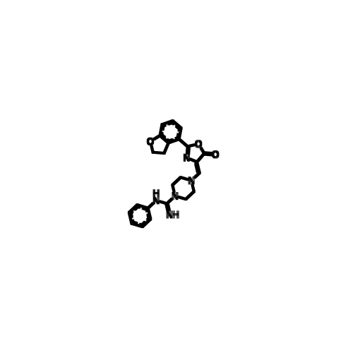 N=C(Nc1ccccc1)N1CCN(C=C2N=C(c3cccc4c3CCO4)OC2=O)CC1